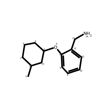 CC1CCCC(Oc2ccccc2CN)C1